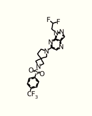 O=S(=O)(c1ccc(C(F)(F)F)cc1)N1CC2(CCN(c3cnc4cnn(CC(F)F)c4n3)C2)C1